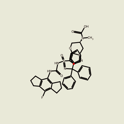 CN(C(=O)O)[C@@H]1COc2c(S(=O)(=NC(c3ccccc3)(c3ccccc3)c3ccccc3)NC(=O)Nc3c4c(c(F)c5c3CCC5)CCC4)cnn2C1